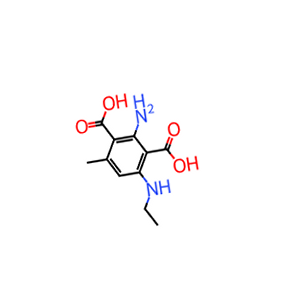 CCNc1cc(C)c(C(=O)O)c(N)c1C(=O)O